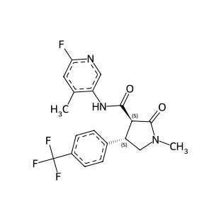 Cc1cc(F)ncc1NC(=O)[C@H]1C(=O)N(C)C[C@@H]1c1ccc(C(F)(F)F)cc1